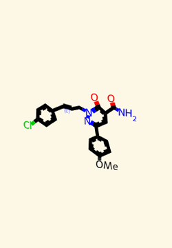 COc1ccc(-c2cc(C(N)=O)c(=O)n(C/C=C/c3ccc(Cl)cc3)n2)cc1